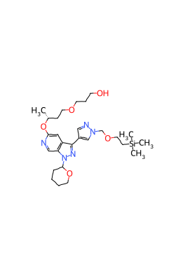 C[C@H](CCOCCCO)Oc1cc2c(-c3cnn(COCC[Si](C)(C)C)c3)nn(C3CCCCO3)c2cn1